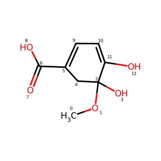 COC1(O)CC(C(=O)O)=CC=C1O